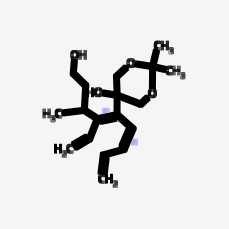 C=C/C=C\C(=C(/C=C)C(C)CCO)C1(O)COC(C)(C)OC1